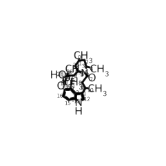 CC1CC(C)N(C(=O)CC(C)c2c[nH]c3ccc(OC(C)C)c(F)c23)C(CC(C)(C)O)C1